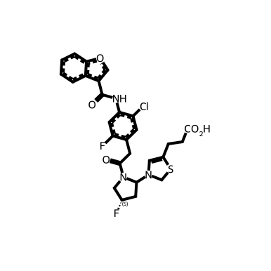 O=C(O)CCC1=CN(C2C[C@H](F)CN2C(=O)Cc2cc(Cl)c(NC(=O)c3coc4ccccc34)cc2F)CS1